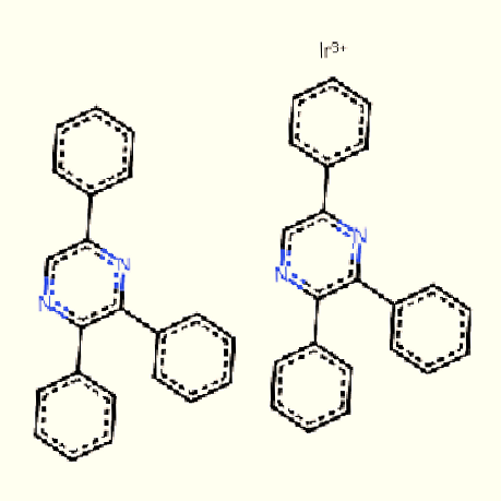 [Ir+3].c1ccc(-c2cnc(-c3ccccc3)c(-c3ccccc3)n2)cc1.c1ccc(-c2cnc(-c3ccccc3)c(-c3ccccc3)n2)cc1